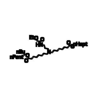 CCCCCCCOC(=O)CCCCCCCN(CCCCCCCC(=O)OC(CCCC)CCCCC)CCCNC(=O)COCC